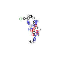 C[C@@H]1CN(c2cc(N3CCN(CC4=C(c5ccc(Cl)cc5)CC(C)(C)CC4)CC3)ccc2C(=O)NS(=O)(=O)c2cc3c(c([N+](=O)[O-])c2)N[C@@H](CN2CCN(C)CC2)CO3)c2cc3cc[nH]c3nc2O1